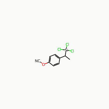 CC(c1ccc(OC#N)cc1)[Si](Cl)(Cl)Cl